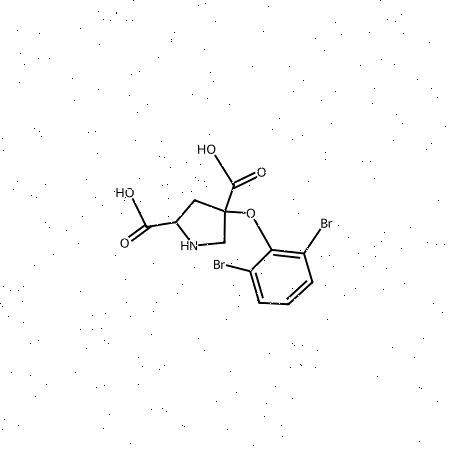 O=C(O)C1CC(Oc2c(Br)cccc2Br)(C(=O)O)CN1